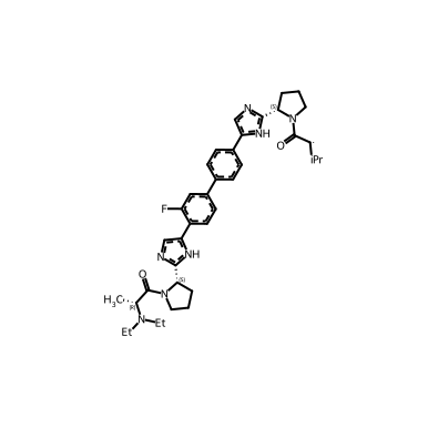 CCN(CC)[C@H](C)C(=O)N1CCC[C@H]1c1ncc(-c2ccc(-c3ccc(-c4cnc([C@@H]5CCCN5C(=O)[CH]C(C)C)[nH]4)cc3)cc2F)[nH]1